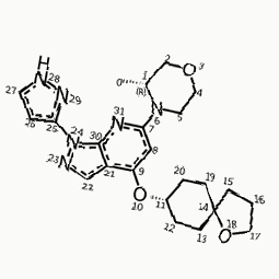 C[C@@H]1COCCN1c1cc(O[C@H]2CC[C@]3(CCCO3)CC2)c2cnn(-c3cc[nH]n3)c2n1